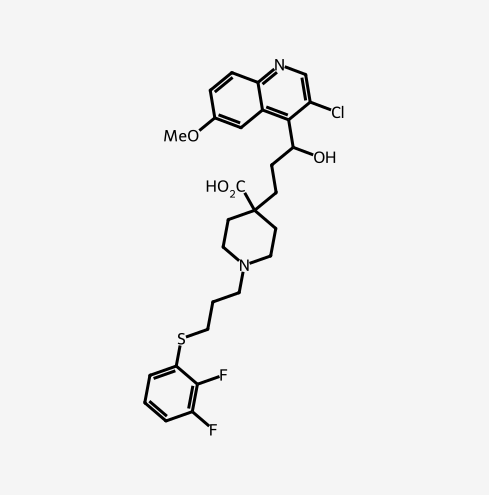 COc1ccc2ncc(Cl)c(C(O)CCC3(C(=O)O)CCN(CCCSc4cccc(F)c4F)CC3)c2c1